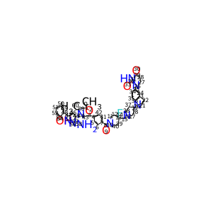 C[C@H]1O[C@@H](c2ccc(C(=O)N3CCC(F)(CN4CCC(n5ccc6cc(N7CCC(=O)NC7=O)ccc65)CC4)CC3)cc2)CN(c2cc(-c3ccccc3O)nnc2N)[C@H]1C